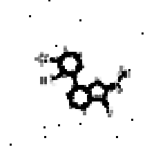 Cc1cccc(-c2cccc3c2C/C(=N\O)C3=O)c1C